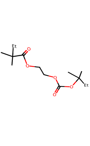 CCC(C)(C)OC(=O)OCCOC(=O)C(C)(C)CC